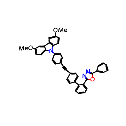 COc1ccc2c(c1)c1cc(OC)ccc1n2-c1ccc(C#Cc2ccc(-c3ccccc3-c3nnc(-c4ccccc4)o3)cc2)cc1